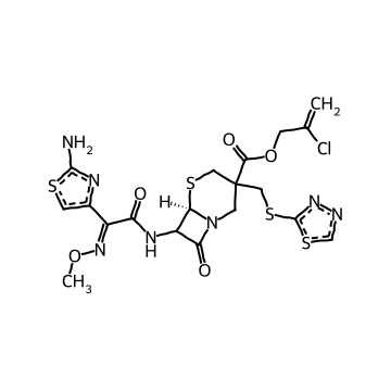 C=C(Cl)COC(=O)C1(CSc2nncs2)CS[C@@H]2C(NC(=O)C(=NOC)c3csc(N)n3)C(=O)N2C1